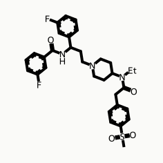 CCN(C(=O)Cc1ccc(S(C)(=O)=O)cc1)C1CCN(CCC(NC(=O)c2cccc(F)c2)c2cccc(F)c2)CC1